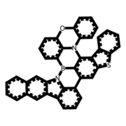 c1ccc2c(c1)Oc1cccc3c1N2c1c2c(cc4sc5ccccc5c14)-c1cccc4c5cc6ccccc6cc5n(c14)B32